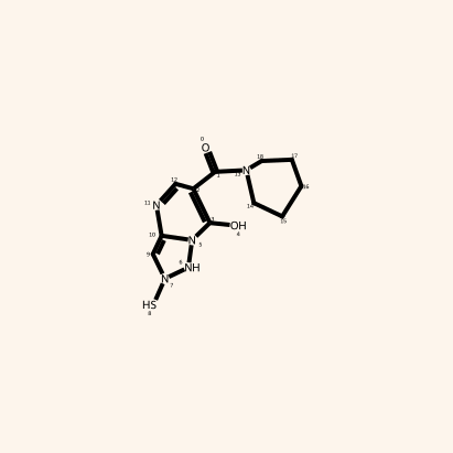 O=C(C1=C(O)N2NN(S)C=C2N=C1)N1CCCCC1